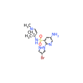 CC(/C=C\N(C)C)NS(=O)(=O)c1cc(N)cnc1-n1cc(Br)cn1